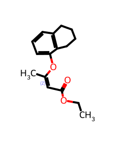 CCOC(=O)/C=C(/C)Oc1cccc2c1CCCC2